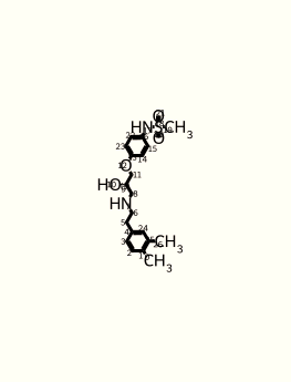 Cc1ccc(CCNC[C@H](O)COc2ccc(NS(C)(=O)=O)cc2)cc1C